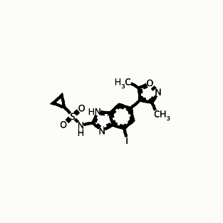 Cc1noc(C)c1-c1cc(I)c2nc(NS(=O)(=O)C3CC3)[nH]c2c1